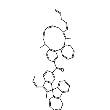 C=CC/C=C\C1=C(/C)C2=C(C=CC=CC2)c2cc(C(=O)c3ccc4c(c3)C3(C(C)=C4/C=C\C)C4=C(CC=CC=C4)c4ccccc43)ccc2C(C)/C=C\C=C/C1